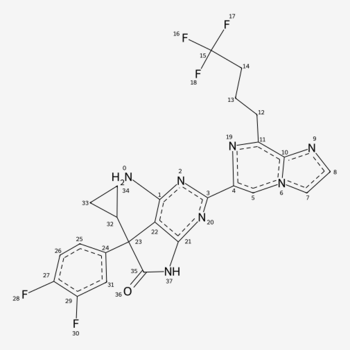 Nc1nc(-c2cn3ccnc3c(CCCC(F)(F)F)n2)nc2c1C(c1ccc(F)c(F)c1)(C1CC1)C(=O)N2